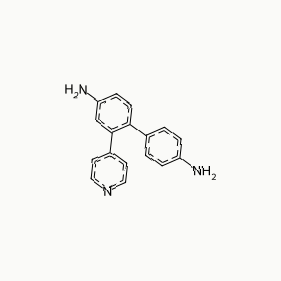 Nc1ccc(-c2ccc(N)cc2-c2ccncc2)cc1